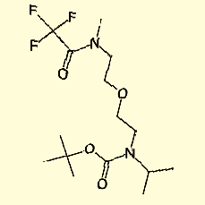 CC(C)N(CCOCCN(C)C(=O)C(F)(F)F)C(=O)OC(C)(C)C